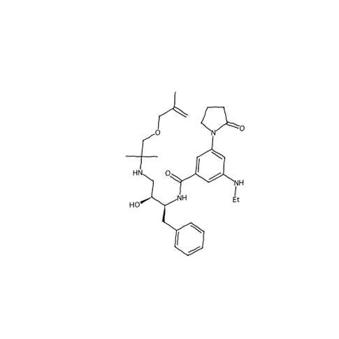 C=C(C)COCC(C)(C)NC[C@H](O)[C@H](Cc1ccccc1)NC(=O)c1cc(NCC)cc(N2CCCC2=O)c1